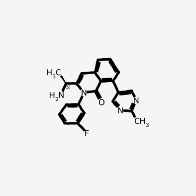 Cc1ncc(-c2cccc3cc([C@H](C)N)n(-c4cccc(F)c4)c(=O)c23)cn1